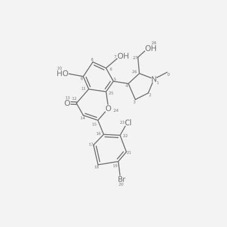 CN1CCC(c2c(O)cc(O)c3c(=O)cc(-c4ccc(Br)cc4Cl)oc23)C1CO